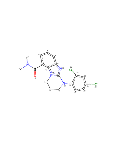 CN(C)C(=O)c1cccc2nc3n(c12)CCCN3c1ccc(Cl)cc1Cl